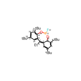 CC/C1=C2\C=C(C(C)(C)C)C=C(C(C)(C)C)C2OP(F)Oc2c1cc(C(C)(C)C)cc2C(C)(C)C